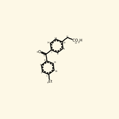 CCc1ccc(C(=O)c2ccc(CC(=O)O)cc2)cc1